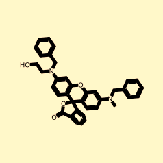 CN(Cc1ccccc1)c1ccc2c(c1)Oc1cc(N(CCO)Cc3ccccc3)ccc1C21OC(=O)c2ccccc21